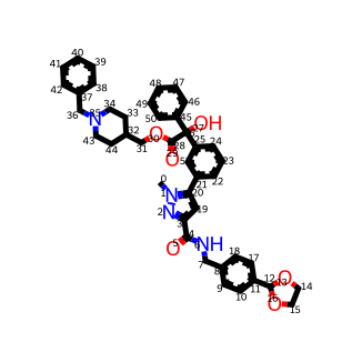 Cn1nc(C(=O)NCc2ccc(C3OCCO3)cc2)cc1-c1cccc(C(O)(C(=O)OCC2CCN(Cc3ccccc3)CC2)c2ccccc2)c1